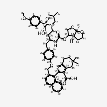 COc1ccc(S(=O)(=O)N(CC(C)C)C[C@@H](O)[C@H](Cc2ccc(OCc3ccc4ccccc4c3-c3sc4c(c3C(=O)O)CC(C)(C)CC4)cc2)NC(=O)OC2CO[C@@]3(C)OCC[C@@H]23)cc1